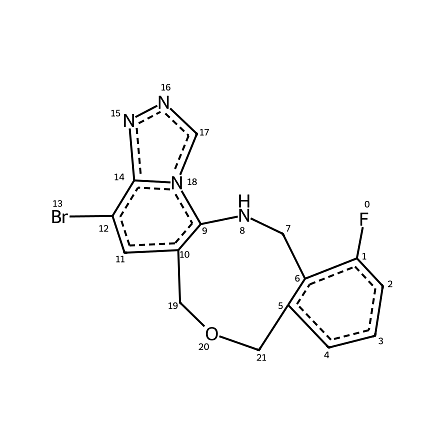 Fc1cccc2c1CNc1c(cc(Br)c3nncn13)COC2